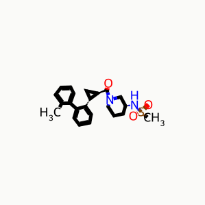 Cc1ccccc1-c1ccccc1[C@@H]1C[C@H]1C(=O)N1CCC[C@@H](NS(C)(=O)=O)C1